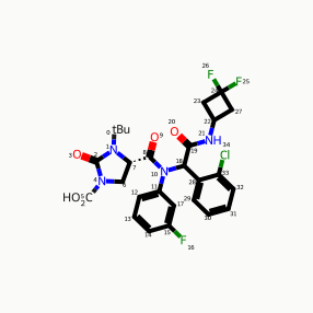 CC(C)(C)N1C(=O)N(C(=O)O)C[C@H]1C(=O)N(c1cccc(F)c1)C(C(=O)NC1CC(F)(F)C1)c1ccccc1Cl